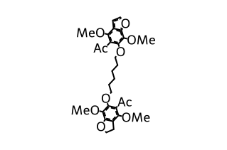 COc1c2c(c(OC)c(C(C)=O)c1OCCCCCCOc1c(C(C)=O)c(OC)c3ccoc3c1OC)CCO2